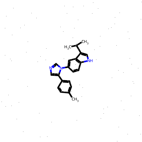 Cc1ccc(-c2cncn2-c2ccc3[nH]cc(C(C)C)c3c2)cc1